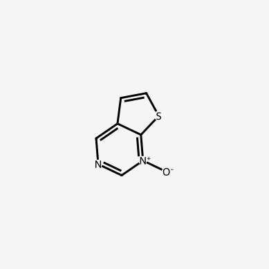 [O-][n+]1cncc2ccsc21